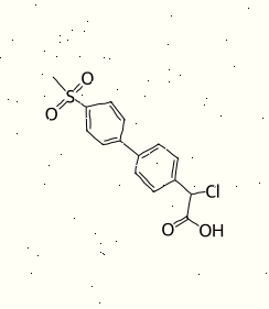 CS(=O)(=O)c1ccc(-c2ccc(C(Cl)C(=O)O)cc2)cc1